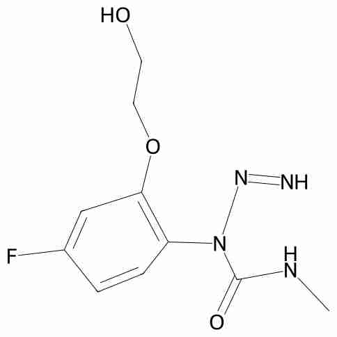 CNC(=O)N(N=N)c1ccc(F)cc1OCCO